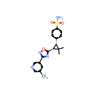 CC1(C)[C@@H](c2ccc(S(N)(=O)=O)cc2)[C@@H]1c1nc(-c2cncc(C(F)(F)F)c2)no1